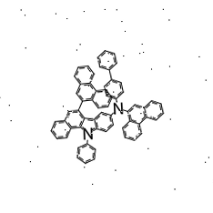 c1ccc(-c2ccc(N(c3ccc4c(c3)c3c(-c5cc6ccccc6c6ccccc56)cc5ccccc5c3n4-c3ccccc3)c3cc4ccccc4c4ccccc34)cc2)cc1